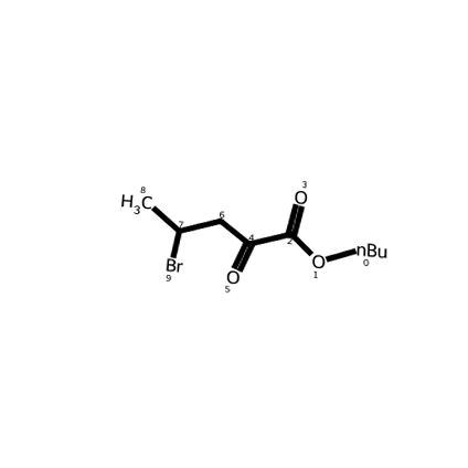 CCCCOC(=O)C(=O)CC(C)Br